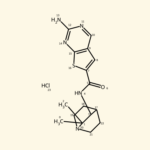 CC1(C)C(NC(=O)c2cc3cnc(N)nc3s2)C2CCN1CC2.Cl